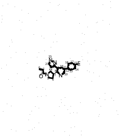 C=CC(=O)N1CC[C@H](c2ncc(-c3ccc(F)cc3)cc2-c2ccn(C)n2)C1